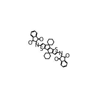 O=c1c(=Nc2cc3c(s2)C2=C(c4sc(N=c5c(=O)c6ccccc6c5=O)cc4C24CCCCC4)C32CCCCC2)c(=O)c2ccccc12